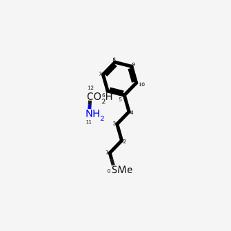 CSCCCCc1ccccc1.NC(=O)O